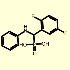 O=P(O)(O)C(Nc1ccccc1)c1cc(Cl)ccc1F